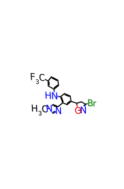 Cn1cnc(-c2cc(C3CC(Br)=NO3)ccc2Nc2cccc(C(F)(F)F)c2)c1